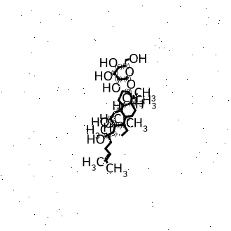 CC(C)=CCC[C@](C)(O)[C@H]1CC[C@]2(C)[C@@H]1[C@H](O)C[C@@H]1[C@@]3(C)CC[C@H](O[C@@H]4O[C@H](CO)[C@@H](O)[C@H](O)[C@H]4O)C(C)(C)[C@@H]3CC[C@]12C